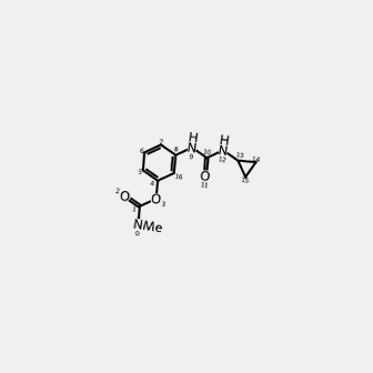 CNC(=O)Oc1cccc(NC(=O)NC2CC2)c1